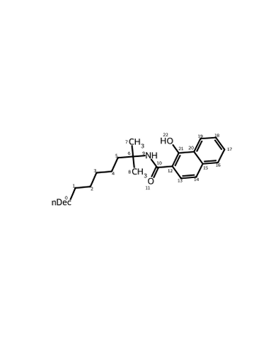 CCCCCCCCCCCCCCCC(C)(C)NC(=O)c1ccc2ccccc2c1O